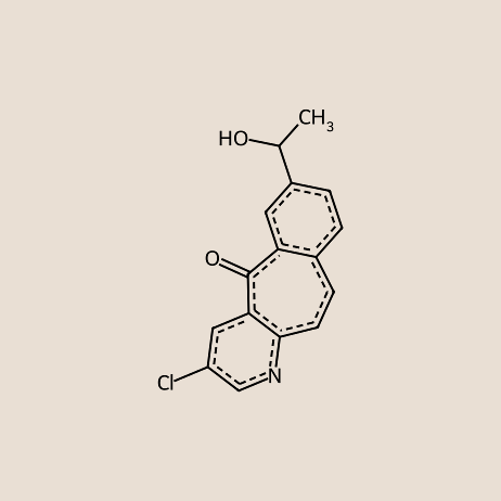 CC(O)c1ccc2ccc3ncc(Cl)cc3c(=O)c2c1